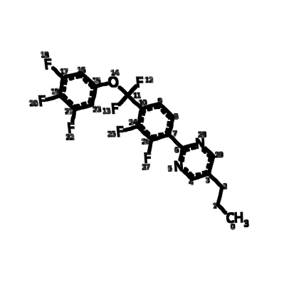 CCCc1cnc(-c2ccc(C(F)(F)Oc3cc(F)c(F)c(F)c3)c(F)c2F)nc1